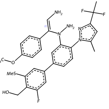 CSc1cc(-c2ccc(-n3nc(C(C)(F)F)cc3C)c(N(N)/C(=C\N)c3ccc(OC(F)(F)F)cc3)c2)cc(F)c1CO